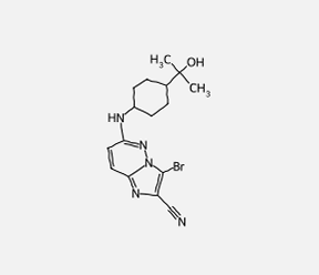 CC(C)(O)C1CCC(Nc2ccc3nc(C#N)c(Br)n3n2)CC1